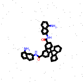 Nc1cccc2ccc(NC(=O)c3ccc(C4(c5ccc(C(=O)Nc6ccc7cccc(N)c7c6)cc5)c5ccccc5C5C=CC=CC54)cc3)cc12